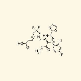 COC(=O)C1=C(CN2CC(F)(F)C[C@@H]2CCC(=O)O)NC(c2nccs2)=N[C@H]1c1ccc(F)cc1Cl